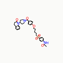 CC(=O)Nc1ccc(S(=O)(=O)CCCCCOc2ccc(C(=O)N3CCC(N4C(=O)CCc5ccccc54)CC3)cc2)cc1